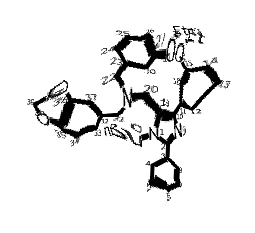 CCCCn1c(-c2ccccc2)nc(-c2cccc(OCC)c2)c1CN(Cc1cccc(OCC)c1)Cc1ccc2c(c1)OCO2